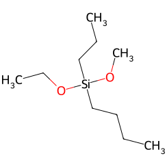 CCCC[Si](CCC)(OC)OCC